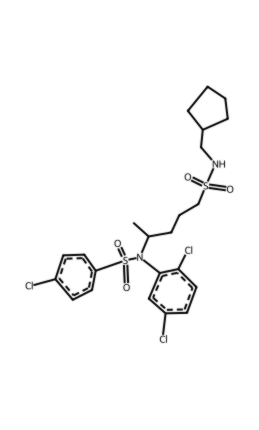 CC(CCCS(=O)(=O)NCC1CCCC1)N(c1cc(Cl)ccc1Cl)S(=O)(=O)c1ccc(Cl)cc1